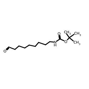 CC(C)(C)OC(=O)NCCCCCCCCC=O